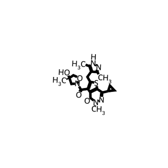 Cc1n[nH]c(C)c1Cc1sc2c(C3CC3)nn(C)c(=O)c2c1C(=O)N1C[C@](C)(O)CO1